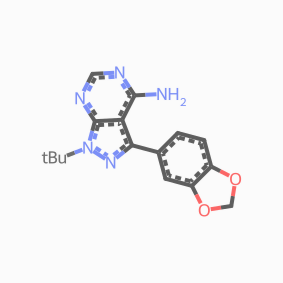 CC(C)(C)n1nc(-c2ccc3c(c2)OCO3)c2c(N)ncnc21